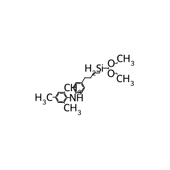 CCOC(OCC)[SiH2]CCCCc1ccc(Nc2c(C)cc(C)cc2C)cc1